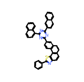 c1ccc(-c2nc3ccc4ccc5cc(-c6nc(-c7ccc8ccccc8c7)nc(-c7cccc8ccccc78)n6)ccc5c4c3s2)cc1